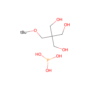 CC(C)(C)OCC(CO)(CO)CO.OP(O)O